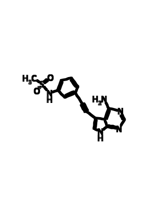 CS(=O)(=O)Nc1cccc(C#Cc2c[nH]c3ncnc(N)c23)c1